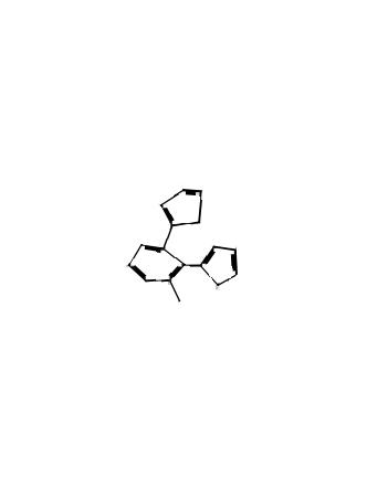 [CH2]c1cccc(C2=CC=CC2)c1C1=CC=CC1